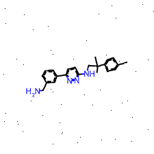 Cc1ccc(C(C)(C)CNc2ccc(-c3cccc(CN)c3)nn2)cc1